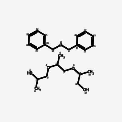 CC(O)COC(C)COC(C)CO.c1ccc(COCc2ccccc2)cc1